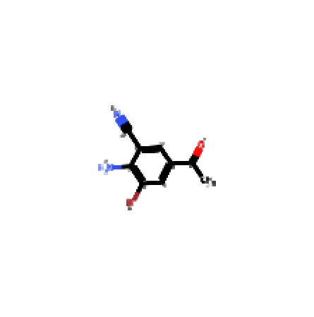 CC(=O)c1cc(Br)c(N)c(C#N)c1